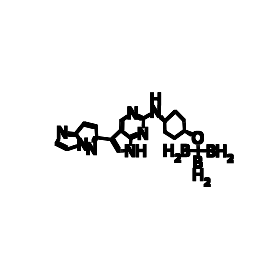 BC(B)(B)O[C@H]1CC[C@@H](Nc2ncc3c(-c4ccc5nccn5n4)c[nH]c3n2)CC1